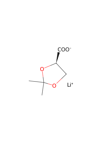 CC1(C)OC[C@H](C(=O)[O-])O1.[Li+]